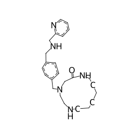 O=C1CN(Cc2ccc(CNCc3ccccn3)cc2)CCNCCCCCCN1